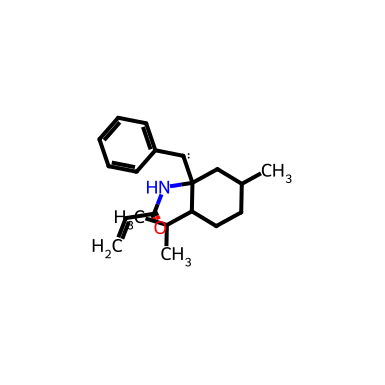 C=CC(=O)NC1([C]c2ccccc2)CC(C)CCC1C(C)C